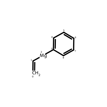 C=[CH][Mg][c]1ccccc1